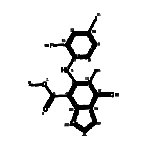 COC(=O)c1c(Nc2ccc(I)cc2F)n(C)c(=O)c2ccsc12